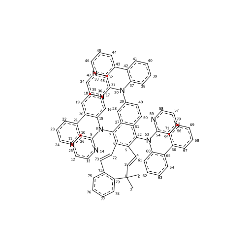 CC1(C)/C=C/c2c(c(N(c3cnccn3)c3ccccc3-c3ccccc3)c3cc(N(c4cnccn4)c4ccccc4-c4ccccc4)ccc3c2N(c2cnccn2)c2ccccc2-c2ccccc2)/C=C/c2ccccc21